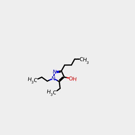 CCCCc1nn(CCC)c(CC)c1O